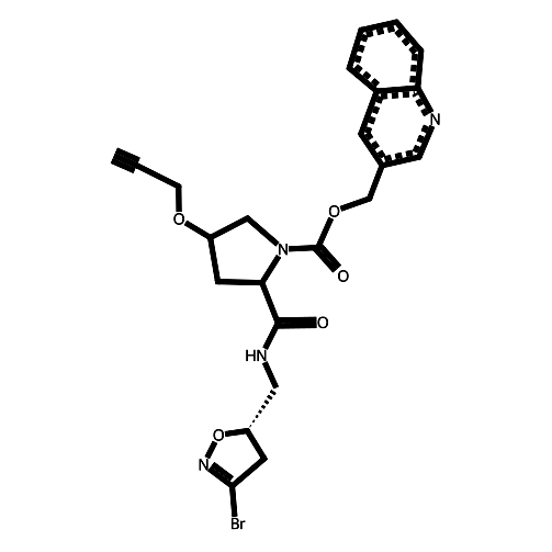 C#CCOC1CC(C(=O)NC[C@@H]2CC(Br)=NO2)N(C(=O)OCc2cnc3ccccc3c2)C1